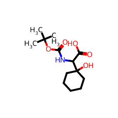 CC(C)(C)OC(=O)NC(C(=O)O)C1(O)CCCCC1